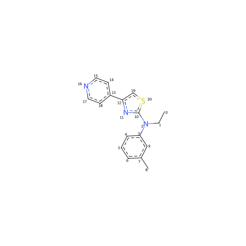 CCN(c1cccc(C)c1)c1nc(-c2ccncc2)cs1